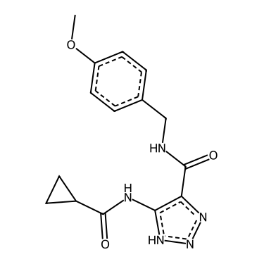 COc1ccc(CNC(=O)c2nn[nH]c2NC(=O)C2CC2)cc1